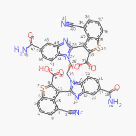 N#Cc1cccc2sc(C(=O)O)c(-c3nc4cc(C(N)=O)ccc4n3CCn3c(-c4c(C(=O)O)sc5cccc(C#N)c45)nc4cc(C(N)=O)ccc43)c12